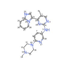 Cc1cnc(Nc2ccc(N3CCN(C)CC3)nc2)nc1-c1cnc2ccccn12